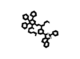 C\C=C/C=C\C=C(/C)c1c(/C=C/C(=C\C=C/I)c2cccc(-c3nc(-c4ccccc4)nc4c3ccc3ccccc34)c2)cc(-c2ccccc2)c(-c2ccccc2)c1-c1ccccc1